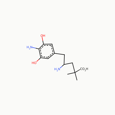 CC(C)(CC(N)Cc1cc(O)c(N)c(O)c1)C(=O)O